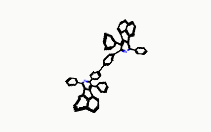 c1ccc(-c2nc(-c3ccc(-c4ccc(-c5nc(-c6ccccc6)c6c(c5-c5ccccc5)-c5cccc7cccc-6c57)cc4)cc3)c(-c3ccccc3)c3c2-c2cccc4cccc-3c24)cc1